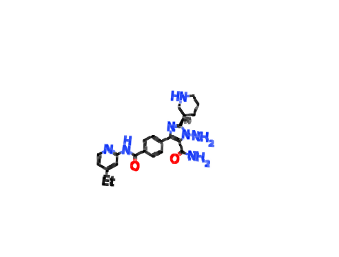 CCc1ccnc(NC(=O)c2ccc(-c3nc([C@@H]4CCCNC4)n(N)c3C(N)=O)cc2)c1